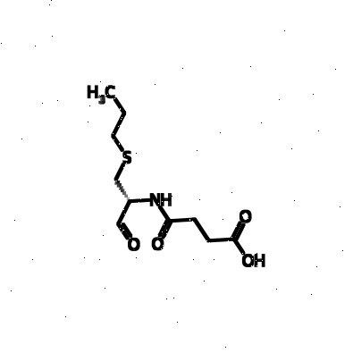 CCCSC[C@@H](C=O)NC(=O)CCC(=O)O